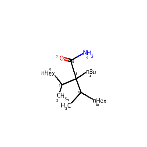 CCCCCCC(C)C(CCCC)(C(N)=O)C(C)CCCCCC